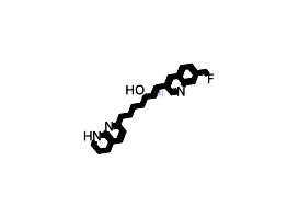 OC(/C=C/c1cnc2cc(CF)ccc2c1)CCCCc1ccc2c(n1)NCCC2